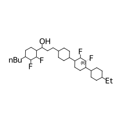 CCCCC1CCC(C(O)CCC2CCC(C3CCC(C4CCC(CC)CC4)[C@@H](F)C3F)CC2)C(F)C1F